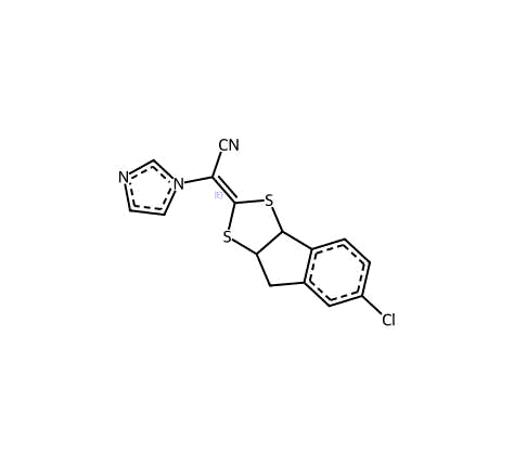 N#C/C(=C1/SC2Cc3cc(Cl)ccc3C2S1)n1ccnc1